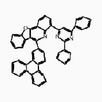 c1ccc(-c2cc(-c3cccc4c3nc(-c3ccc5c6ccccc6c6ccccc6c5c3)c3c5ccccc5oc43)nc(-c3ccccc3)n2)cc1